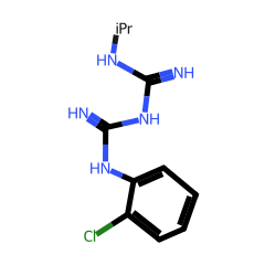 CC(C)NC(=N)NC(=N)Nc1ccccc1Cl